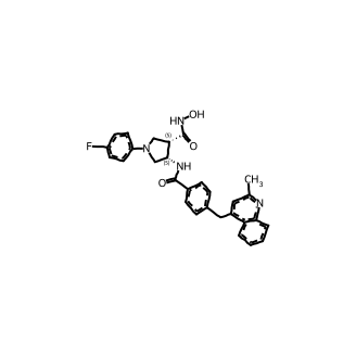 Cc1cc(Cc2ccc(C(=O)N[C@@H]3CN(c4ccc(F)cc4)C[C@@H]3C(=O)NO)cc2)c2ccccc2n1